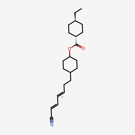 CC[C@H]1CC[C@H](C(=O)OC2CCC(CC/C=C/C=CC#N)CC2)CC1